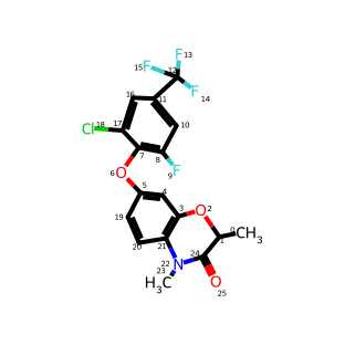 CC1Oc2cc(Oc3c(F)cc(C(F)(F)F)cc3Cl)ccc2N(C)C1=O